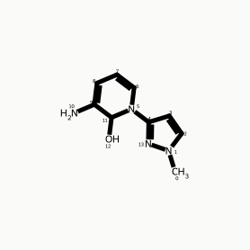 Cn1ccc(N2C=CC=C(N)C2O)n1